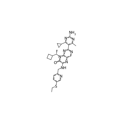 CCSc1ccc(CNc2nc3cnc(-c4c(C)nc(N)nc4C4CC4)nc3n([C@H](C)C3CCC3)c2=O)nc1